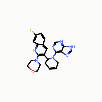 Fc1ccc2cc(C3CC=CCN3c3ncnc4[nH]cnc34)c(N3CCOCC3)nc2c1